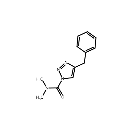 CN(C)C(=O)n1cc(Cc2ccccc2)nn1